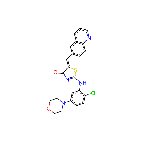 O=C1N=C(Nc2cc(N3CCOCC3)ccc2Cl)S/C1=C\c1ccc2ncccc2c1